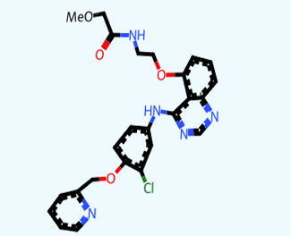 COCC(=O)NCCOc1cccc2ncnc(Nc3ccc(OCc4ccccn4)c(Cl)c3)c12